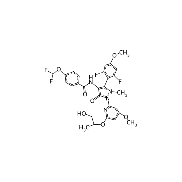 COc1cc(OC(C)CO)nc(-n2c(=O)c(NC(=O)c3ccc(OC(F)F)cc3)c(-c3c(F)cc(OC)cc3F)n2C)c1